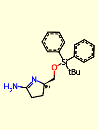 CC(C)(C)[Si](OC[C@H]1CCC(N)=N1)(c1ccccc1)c1ccccc1